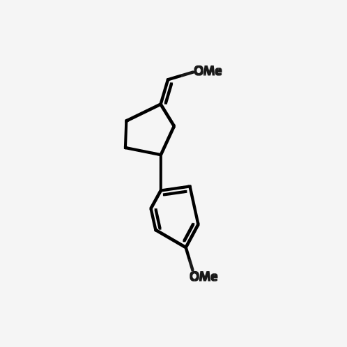 COC=C1CCC(c2ccc(OC)cc2)C1